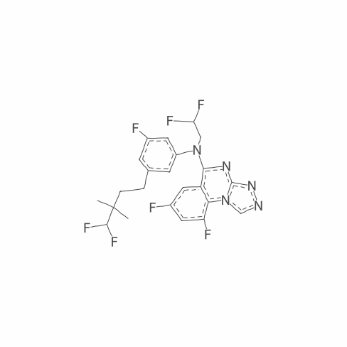 CC(C)(CCc1cc(F)cc(N(CC(F)F)c2nc3nncn3c3c(F)cc(F)cc23)c1)C(F)F